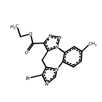 CCOC(=O)c1nnn2c1Cc1c(Br)ncn1-c1ccc(C)cc1-2